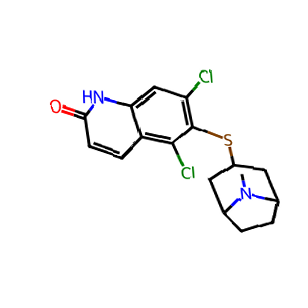 CN1C2CCC1CC(Sc1c(Cl)cc3[nH]c(=O)ccc3c1Cl)C2